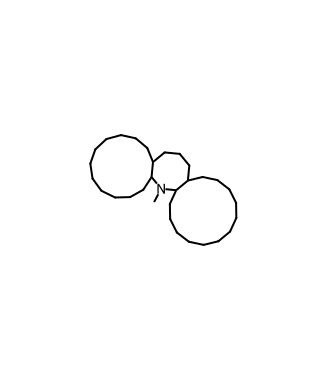 CN1C2CCCCCCCCCCCCC2CCCC2CCCCCCCCCCCC21